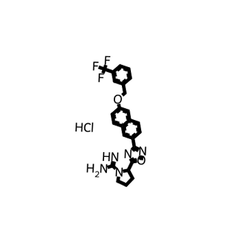 Cl.N=C(N)N1CCCC1c1nc(-c2ccc3cc(OCc4cccc(C(F)(F)F)c4)ccc3c2)no1